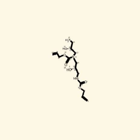 C=CCOC(=O)NC[C@H](O)CN(C[C@H](O)CN)C(=O)OCC=C